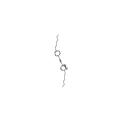 CCCCCCc1ccc(C#Cc2ccc(CCCCCC)nn2)cc1